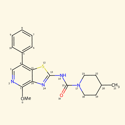 COc1ncc(-c2ccccc2)c2sc(NC(=O)N3CCC(C)CC3)nc12